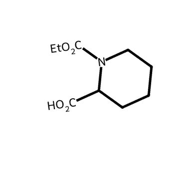 CCOC(=O)N1CCCCC1C(=O)O